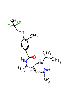 CC(=N)/C=C(\C=C\C(C)C)C(C)NC(=O)c1ccc(OCC(C)(F)F)c(C)c1